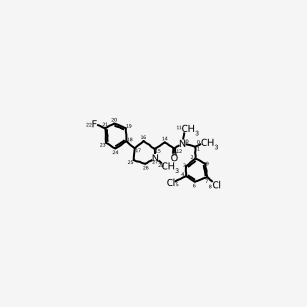 CC(c1cc(Cl)cc(Cl)c1)N(C)C(=O)CC1CC(c2ccc(F)cc2)CCN1C